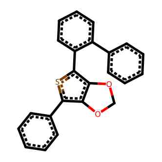 c1ccc(-c2ccccc2-c2sc(-c3ccccc3)c3c2OCO3)cc1